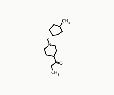 CCC(=O)C1CCN(C[C@H]2CC[C@H](C)CC2)CC1